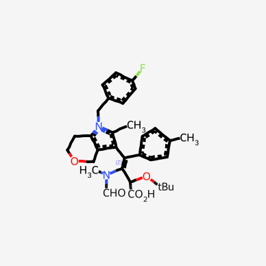 Cc1ccc(/C(=C(\C(OC(C)(C)C)C(=O)O)N(C)C=O)c2c3c(n(Cc4ccc(F)cc4)c2C)CCOC3)cc1